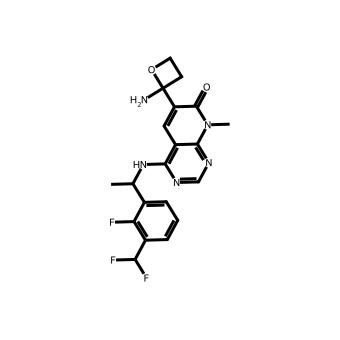 CC(Nc1ncnc2c1cc(C1(N)CCO1)c(=O)n2C)c1cccc(C(F)F)c1F